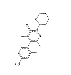 Cc1cc(O)ccc1-c1c(C)nn(C2CCCCO2)c(=O)c1C